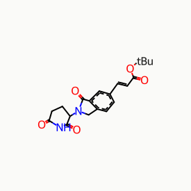 CC(C)(C)OC(=O)C=Cc1ccc2c(c1)C(=O)N(C1CCC(=O)NC1=O)C2